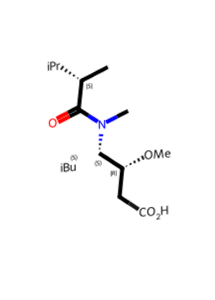 CC[C@H](C)[C@@H]([C@@H](CC(=O)O)OC)N(C)C(=O)[C@@H](C)C(C)C